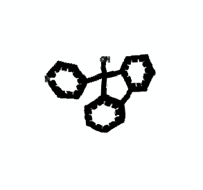 OC1(c2ccncc2)c2ccccc2-c2ccccc21